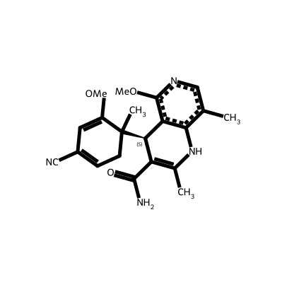 COC1=CC(C#N)=CCC1(C)[C@@H]1C(C(N)=O)=C(C)Nc2c(C)cnc(OC)c21